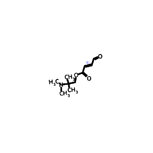 CN(C)C(C)(C)COC(=O)/C=C/C=O